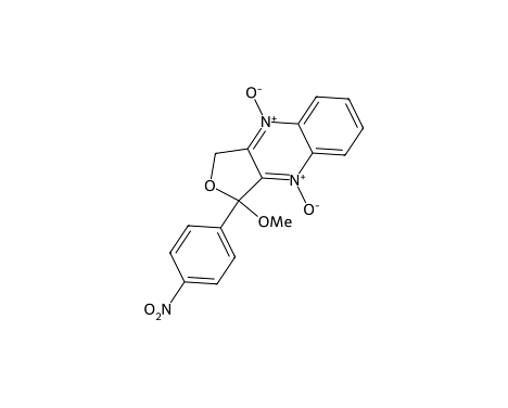 COC1(c2ccc([N+](=O)[O-])cc2)OCc2c1[n+]([O-])c1ccccc1[n+]2[O-]